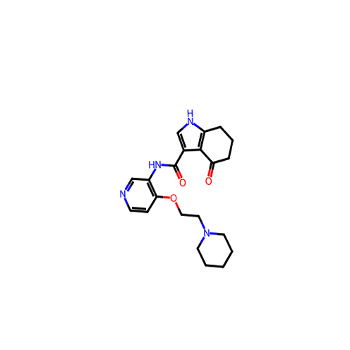 O=C(Nc1cnccc1OCCN1CCCCC1)c1c[nH]c2c1C(=O)CCC2